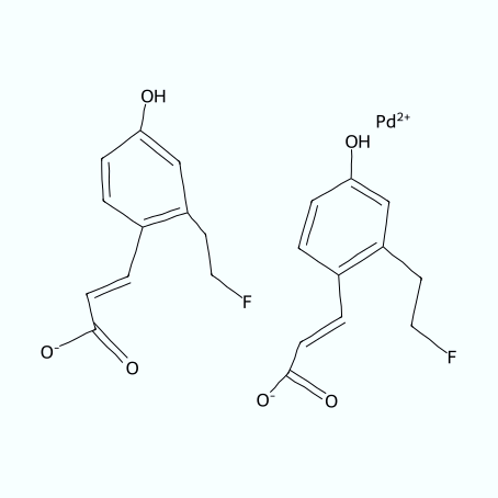 O=C([O-])C=Cc1ccc(O)cc1CCF.O=C([O-])C=Cc1ccc(O)cc1CCF.[Pd+2]